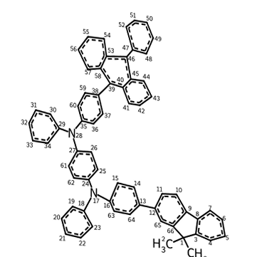 CC1(C)c2ccccc2-c2ccc(-c3ccc(N(c4ccccc4)c4ccc(N(c5ccccc5)c5ccc(-c6c7ccccc7c(-c7ccccc7)c7ccccc67)cc5)cc4)cc3)cc21